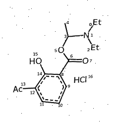 CCN(CC)C(C)OC(=O)c1cccc(C(C)=O)c1O.Cl